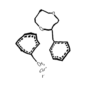 Cc1ccccc1.[Cu+].[I-].c1ccc(C2COCCO2)cc1